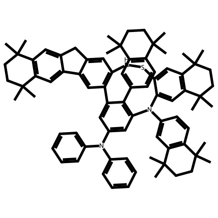 CC1(C)CCC(C)(C)c2cc(-c3c4cc(N(c5ccccc5)c5ccccc5)cc3N(c3ccc5c(c3)C(C)(C)CCC5(C)C)c3cc5c(cc3SNc3cc6c(cc3-4)-c3cc4c(cc3C6)C(C)(C)CCC4(C)C)C(C)(C)CCC5(C)C)ccc21